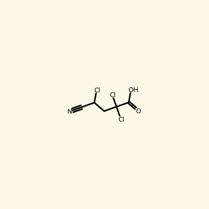 N#CC(Cl)CC(Cl)(Cl)C(=O)O